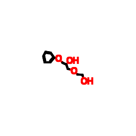 OCCOCC(O)COc1ccccc1